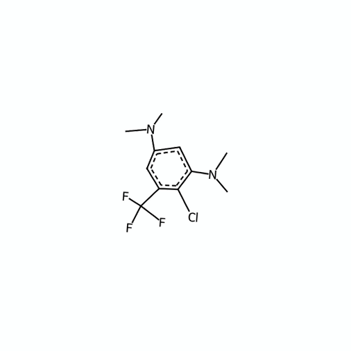 CN(C)c1cc(N(C)C)c(Cl)c(C(F)(F)F)c1